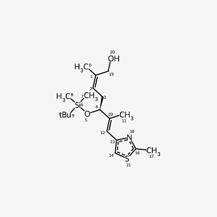 C/C(=C/C[C@H](O[Si](C)(C)C(C)(C)C)/C(C)=C/c1csc(C)n1)CO